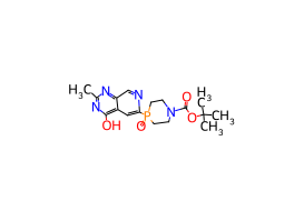 Cc1nc(O)c2cc(P3(=O)CCN(C(=O)OC(C)(C)C)CC3)ncc2n1